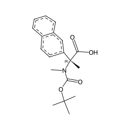 CN(C(=O)OC(C)(C)C)[C@@](C)(C(=O)O)c1ccc2ccccc2c1